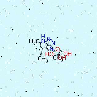 C=c1cc(C#CC)c2cn([C@@H]3O[C@H](CO)[C@@H](O)C3(C)O)c3ncnc([nH]1)c23